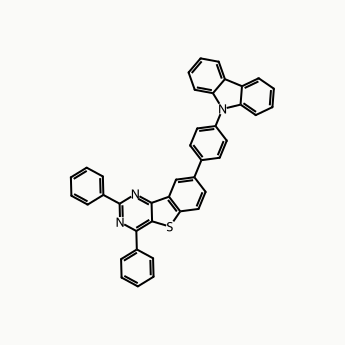 c1ccc(-c2nc(-c3ccccc3)c3sc4ccc(-c5ccc(-n6c7ccccc7c7ccccc76)cc5)cc4c3n2)cc1